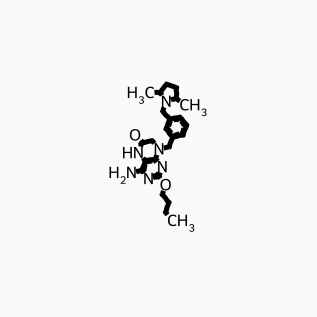 CCCCOc1nc(N)c2c(n1)N(Cc1cccc(CN3C(C)CCC3C)c1)CC(=O)N2